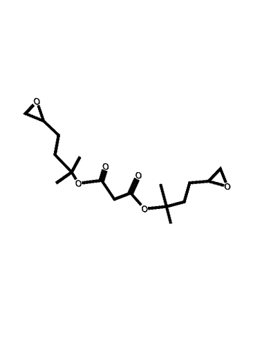 CC(C)(CCC1CO1)OC(=O)CC(=O)OC(C)(C)CCC1CO1